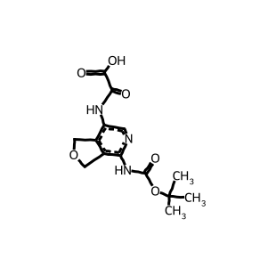 CC(C)(C)OC(=O)Nc1ncc(NC(=O)C(=O)O)c2c1COC2